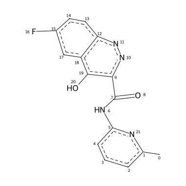 Cc1cccc(NC(=O)c2nnc3ccc(F)cc3c2O)n1